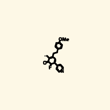 [CH2]C1=C(CCc2ccc(OC)cc2)C=C(c2ccncc2)C(F)C1=O